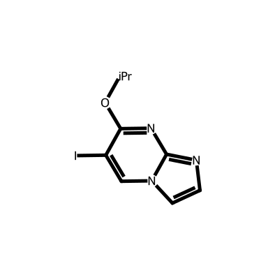 CC(C)Oc1nc2nccn2cc1I